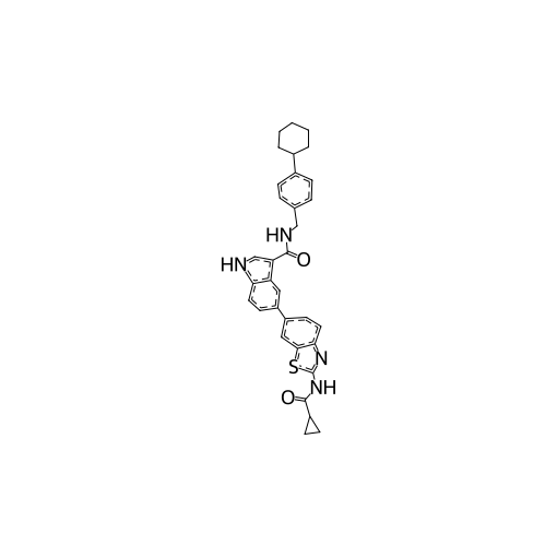 O=C(NCc1ccc(C2CCCCC2)cc1)c1c[nH]c2ccc(-c3ccc4nc(NC(=O)C5CC5)sc4c3)cc12